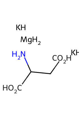 NC(CC(=O)O)C(=O)O.[KH].[KH].[MgH2]